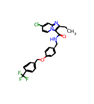 CCc1nc2cc(Cl)ccn2c1C(=O)NCc1ccc(OCc2ccc(C(F)(F)F)cc2)cc1